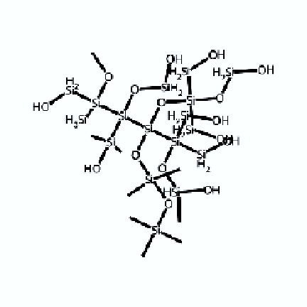 CO[Si]([SiH3])([SiH2]O)[Si](O[SiH2]O)([Si](C)(C)O)[Si](O[Si](C)(C)O[Si](C)(C)C)(O[Si](O[SiH2]O)([SiH2]O)[SiH2]O)[Si](O[SiH](C)O)([SiH2]O)[SiH2]O